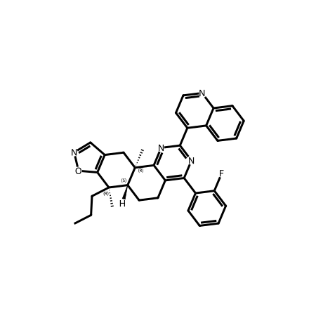 CCC[C@@]1(C)c2oncc2C[C@@]2(C)c3nc(-c4ccnc5ccccc45)nc(-c4ccccc4F)c3CC[C@@H]21